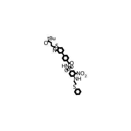 CC(C)(C)C(=O)CCc1nc2cc(-c3ccc(C(=O)NS(=O)(=O)c4ccc(NCCSc5ccccc5)c([N+](=O)[O-])c4)cc3)ccc2s1